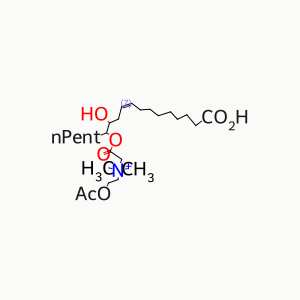 CCCCCC(OC(=O)C[N+](C)(C)CCOC(C)=O)C(O)C/C=C\CCCCCCCC(=O)O